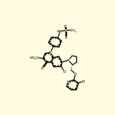 CS(=O)(=O)Nc1ccc(-n2cc(C(=O)O)c(=O)c3cc(Cl)c(N4CCC[C@@H]4COc4ncccc4Cl)cc32)cc1